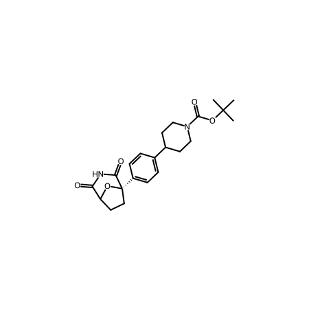 CC(C)(C)OC(=O)N1CCC(c2ccc([C@]34CCC(O3)C(=O)NC4=O)cc2)CC1